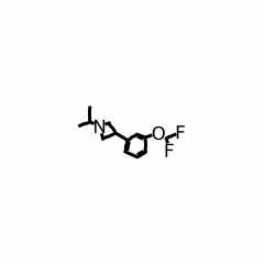 CC(C)N1CC(c2cccc(OC(F)F)c2)C1